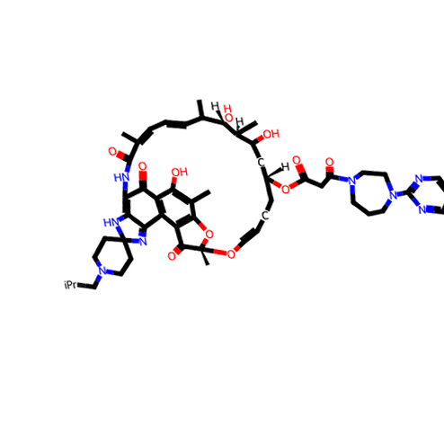 C/C1=C/C=C/C(C)[C@H](O)[C@@H](C)C(O)C[C@H](OC(=O)CC(=O)N2CCCN(c3ncccn3)CC2)CC/C=C/O[C@@]2(C)Oc3c(C)c(O)c4c(c3C2=O)C2=NC3(CCN(CC(C)C)CC3)NC2=C(NC1=O)C4=O